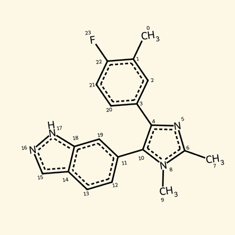 Cc1cc(-c2nc(C)n(C)c2-c2ccc3cn[nH]c3c2)ccc1F